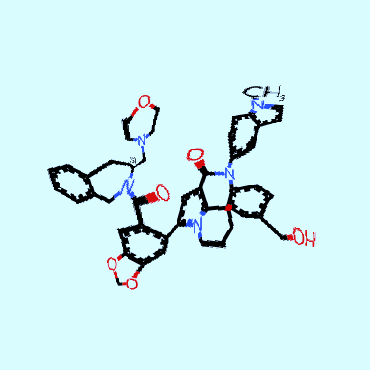 Cn1ccc2cc(N(C(=O)c3cc(-c4cc5c(cc4C(=O)N4Cc6ccccc6C[C@H]4CN4CCOCC4)OCO5)n4c3CCCC4)c3ccc(CO)cc3)ccc21